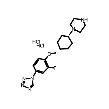 Cl.Cl.Fc1cc(-n2cnnn2)ccc1OC[C@H]1CC[C@H](N2CCNCC2)CC1